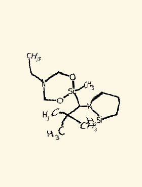 CCN1CO[Si](C)(C(N2CCC[SiH2]2)C(C)(C)C)OC1